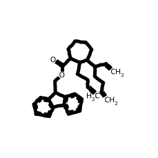 C=CCCC(C=C)C1CCCCC(C(=O)OCC2c3ccccc3-c3ccccc32)C1CCC=C